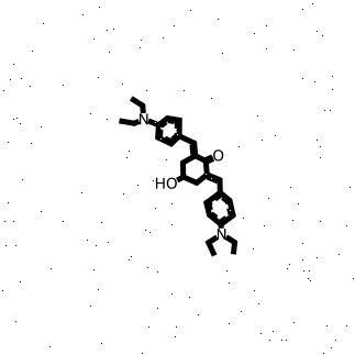 CCN(CC)c1ccc(C=C2CC(O)CC(=Cc3ccc(N(CC)CC)cc3)C2=O)cc1